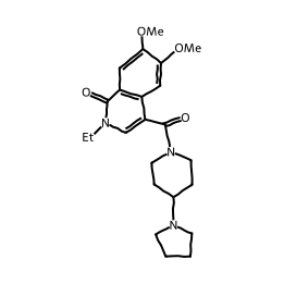 CCn1cc(C(=O)N2CCC(N3CCCC3)CC2)c2cc(OC)c(OC)cc2c1=O